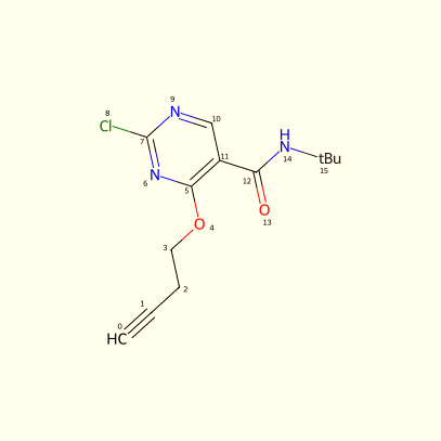 C#CCCOc1nc(Cl)ncc1C(=O)NC(C)(C)C